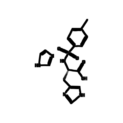 Cc1ccc(S(=O)(=O)N[C@@H](Cc2c[nH]cn2)C(=O)O)cc1.c1c[nH]cn1